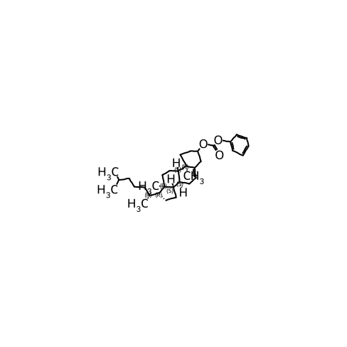 CC(C)CCC[C@@H](C)[C@H]1CC[C@H]2[C@@H]3CC=C4CC(OC(=O)Oc5ccccc5)CC[C@]4(C)[C@H]3CC[C@]12C